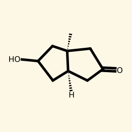 C[C@]12CC(=O)C[C@H]1CC(O)C2